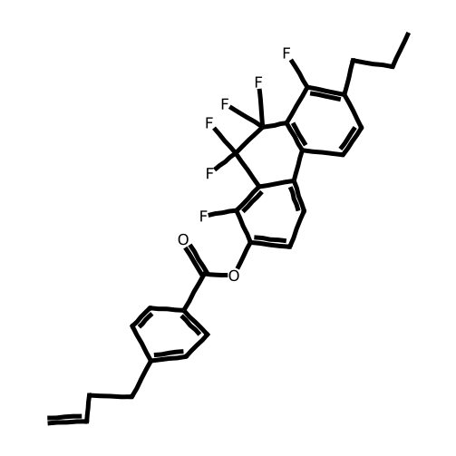 C=CCCc1ccc(C(=O)Oc2ccc3c(c2F)C(F)(F)C(F)(F)c2c-3ccc(CCC)c2F)cc1